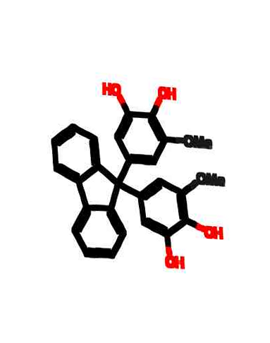 COc1cc(C2(c3cc(O)c(O)c(OC)c3)c3ccccc3-c3ccccc32)cc(O)c1O